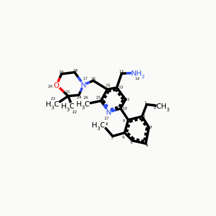 CCc1cccc(CC)c1-c1cc(CN)c(CN2CCOC(C)(C)C2)c(C)n1